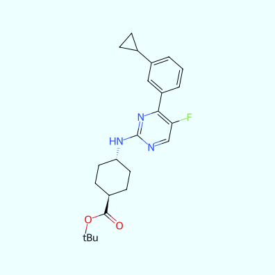 CC(C)(C)OC(=O)[C@H]1CC[C@H](Nc2ncc(F)c(-c3cccc(C4CC4)c3)n2)CC1